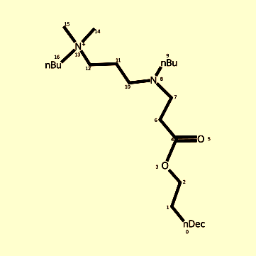 CCCCCCCCCCCCOC(=O)CCN(CCCC)CCC[N+](C)(C)CCCC